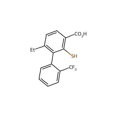 CCc1ccc(C(=O)O)c(S)c1-c1ccccc1C(F)(F)F